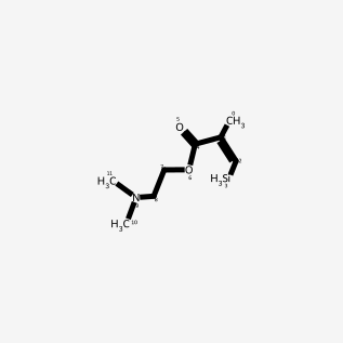 CC(=C[SiH3])C(=O)OCCN(C)C